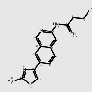 C=C(CCC)Nc1cc2ccc(-c3csc(C)n3)cc2cn1